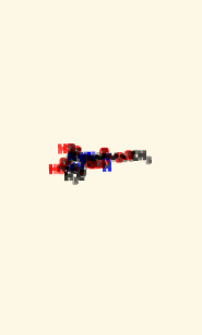 CCOCCOCCCNC(=O)CC[C@H](NC(=O)CN1CCN(CC)CCN(CC(=O)O)CCN(CC(=O)O)CC1)C(=O)O